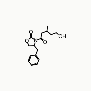 CC(CCO)CC(=O)N1C(=O)OCC1Cc1ccccc1